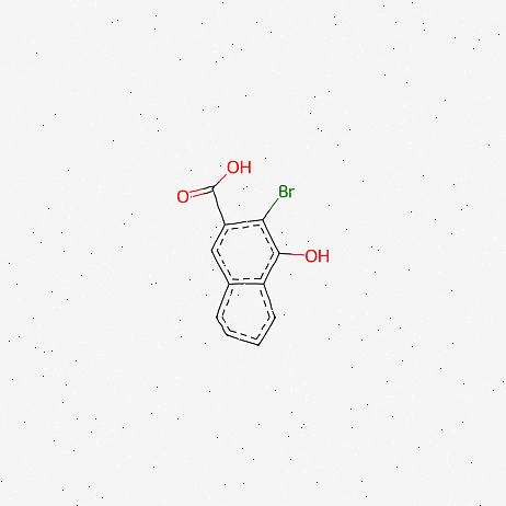 O=C(O)c1cc2ccccc2c(O)c1Br